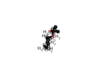 CCC1O[C@@H](OC2CCC3(C)C(CCC4C3CCC3(C)C4CC(=O)C3[C@H](C)C(=O)CC[C@H](C)CO[C@@H]3OC(CC)[C@@H](C)[C@H](OC(=O)c4ccccc4)C3OC(=O)c3ccccc3)C2)C(O)[C@@H](C)[C@@H]1C